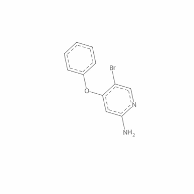 Nc1cc(Oc2ccccc2)c(Br)cn1